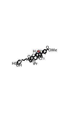 COC(=O)c1ccc(C2=CC(Cl)[C@]3(C)[C@H]4CC[C@@H]5[C@H]6[C@H](C(C)C)CC[C@]6(C(=O)NCCCN6CCS(O)(O)CC6)CC[C@@]5(C)[C@]4(C)CC[C@H]3C2(C)C)cc1